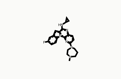 CN1CCCN(c2ccc3nc(NC4CC4)c4cc5cc(F)ccc5n4c3n2)CC1